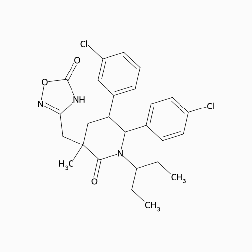 CCC(CC)N1C(=O)C(C)(Cc2noc(=O)[nH]2)CC(c2cccc(Cl)c2)C1c1ccc(Cl)cc1